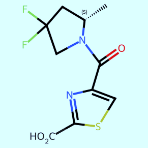 C[C@H]1CC(F)(F)CN1C(=O)c1csc(C(=O)O)n1